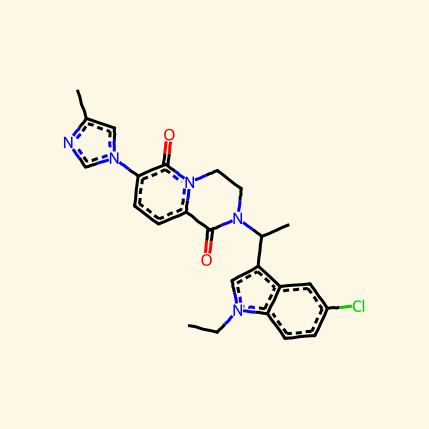 CCn1cc(C(C)N2CCn3c(ccc(-n4cnc(C)c4)c3=O)C2=O)c2cc(Cl)ccc21